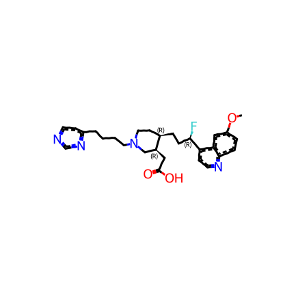 COc1ccc2nccc([C@H](F)CC[C@@H]3CCN(CCCCc4ccncn4)C[C@@H]3CC(=O)O)c2c1